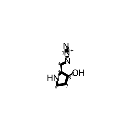 [N-]=[N+]=NC[C@@H]1NCC[C@@H]1O